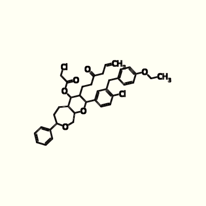 C=CCC(=O)CCC1C(c2ccc(Cl)c(Cc3ccc(OCC)cc3)c2)OC2COC(c3ccccc3)CCC2C1OC(=O)CCl